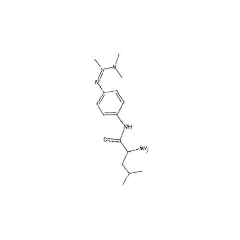 CC(=Nc1ccc(NC(=O)C(N)CC(C)C)cc1)N(C)C